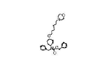 O=C(OCc1ccccc1)N(Cc1ccccc1)[C@H]1CC[C@H](OCCCCCCN2CCOCC2)CC1